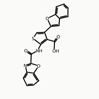 O=C(Nc1scc(-c2cc3ccccc3o2)c1C(=O)O)c1nc2ccccc2o1